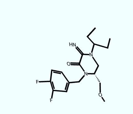 CCC(CC)N1C[C@H](COC)N(Cc2ccc(F)c(F)c2)C(=O)C1=N